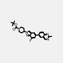 Cc1ncc2cc(-c3cc(F)c4nn(C5CCN(C(=O)OC(C)(C)C)CC5)cc4c3)ccc2n1